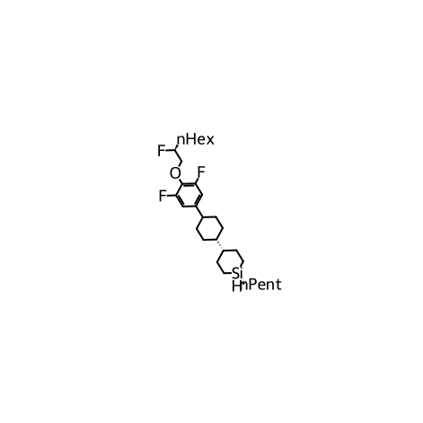 CCCCCC[C@H](F)COc1c(F)cc(C2CCC([C@H]3CC[Si@H](CCCCC)CC3)CC2)cc1F